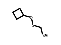 CCCCCSOC1CCC1